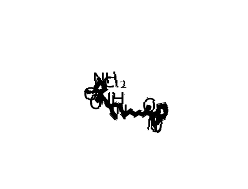 COc1cc(N)c(Cl)cc1C(=O)NCC1CCN(CCCCCC(=O)c2noc3ccccc23)CC1